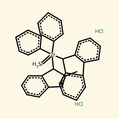 CC1=Cc2ccccc2[CH]1[Zr](=[SiH2])([c]1ccccc1)([c]1ccccc1)[CH]1c2ccccc2-c2ccccc21.Cl.Cl